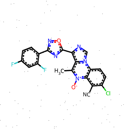 Cc1c2c(-c3nc(-c4ccc(F)cc4F)no3)ncn2c2ccc(Cl)c(C#N)c2[n+]1[O-]